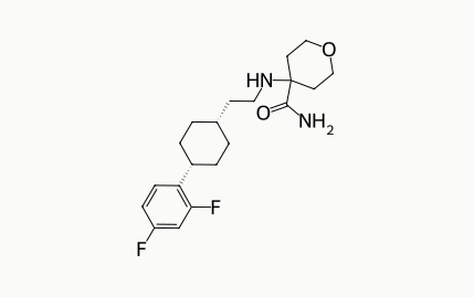 NC(=O)C1(NCC[C@H]2CC[C@@H](c3ccc(F)cc3F)CC2)CCOCC1